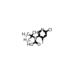 CC(C)(C)N(C(=O)O)c1cnc(Cl)cc1I